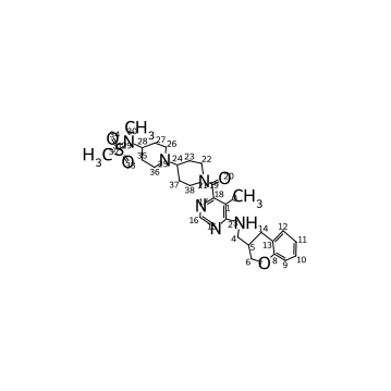 Cc1c(NCC2COc3ccccc3C2)ncnc1C(=O)N1CCC(N2CCC(N(C)S(C)(=O)=O)CC2)CC1